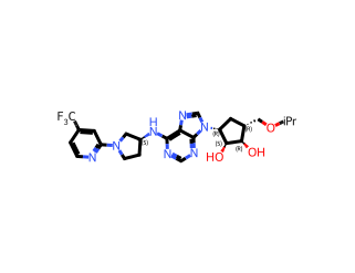 CC(C)OC[C@H]1C[C@@H](n2cnc3c(N[C@H]4CCN(c5cc(C(F)(F)F)ccn5)C4)ncnc32)[C@H](O)[C@@H]1O